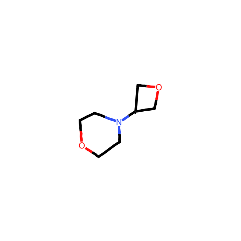 C1CN([C]2COC2)CCO1